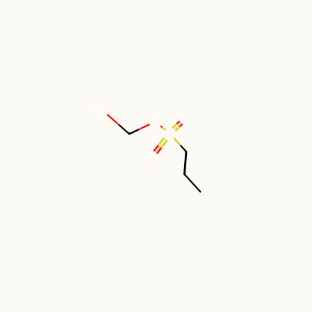 CCCS(=O)(=O)OCO